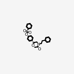 O=C1CO[C@H](c2ccc(OS(=O)(=O)c3ccccc3)cc2)CN1CCc1ccccc1